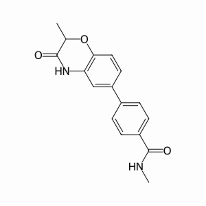 CNC(=O)c1ccc(-c2ccc3c(c2)NC(=O)C(C)O3)cc1